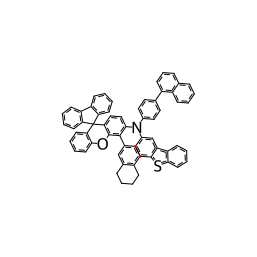 c1ccc2c(c1)Oc1c(ccc(N(c3ccc(-c4cccc5ccccc45)cc3)c3ccc4sc5ccccc5c4c3)c1-c1ccc3c(c1)CCCC3)C21c2ccccc2-c2ccccc21